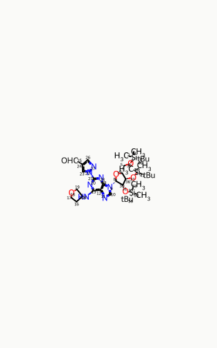 CC(C)(C)[Si](C)(C)OC[C@H]1O[C@@H](n2cnc3c(NC4CCOC4)nc(-n4cc(C=O)cn4)nc32)[C@@H](O[Si](C)(C)C(C)(C)C)[C@@H]1O[Si](C)(C)C(C)(C)C